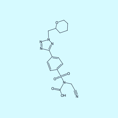 N#CCN(C(=O)O)S(=O)(=O)c1ccc(-c2nnn(CC3CCCCO3)n2)cc1